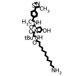 Cc1ncsc1-c1ccc([C@H](C)NC(=O)[C@H]2C[C@H](O)CN2C(=O)[C@@H](NC(=O)CCCCCCCCCCCN)C(C)(C)C)cc1